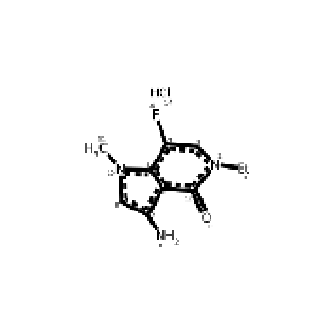 CCn1cc(F)c2c(c(N)cn2C)c1=O.Cl